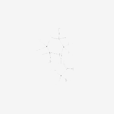 F/[C](=[Cf]\[N]1C(F)(F)C(F)(F)OC(F)(F)C1(F)F)C(F)(F)F